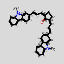 CCn1c2ccccc2c2ccc(C=CC=C3CCC(=CC=Cc4ccc5c6ccccc6n(CC)c5c4)C3=O)cc21